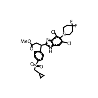 COC(=O)CC(c1ccc(S(=O)(=O)CC2CC2)cc1)c1nc2c(Cl)c(N3CCC(F)(F)CC3)c(Cl)cc2[nH]1